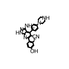 N#Cc1c(-c2ccc(O)cc2F)nc2[nH]nc(N)c2c1-c1ccc(N2CCNCC2)cc1